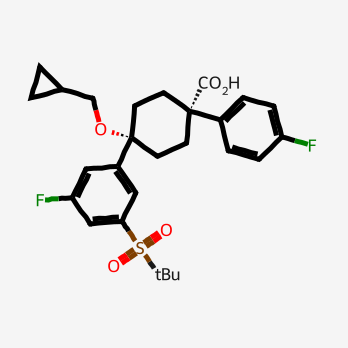 CC(C)(C)S(=O)(=O)c1cc(F)cc([C@]2(OCC3CC3)CC[C@](C(=O)O)(c3ccc(F)cc3)CC2)c1